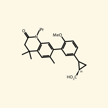 COc1ccc(C2C[C@H]2C(=O)O)cc1-c1cc2c(cc1C)C(C)(C)CC(=O)N2C(C)C